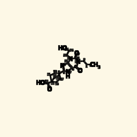 CCCn1c(=O)c2[nH]c(C34CCC(C(=O)O)(CC3)CC4)nc2n(CCO)c1=O